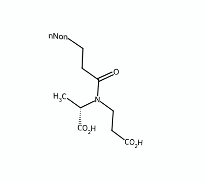 CCCCCCCCCCCC(=O)N(CCC(=O)O)[C@@H](C)C(=O)O